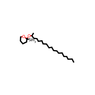 CCCCCCCCCCCCCCCCCC(C)OC1([SiH3])CCCCO1